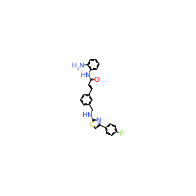 Nc1ccccc1NC(=O)/C=C/c1cccc(CNc2nc(-c3ccc(F)cc3)cs2)c1